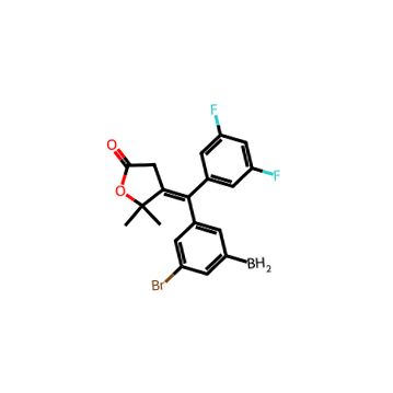 Bc1cc(Br)cc(/C(=C2/CC(=O)OC2(C)C)c2cc(F)cc(F)c2)c1